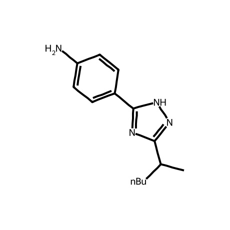 CCCCC(C)c1n[nH]c(-c2ccc(N)cc2)n1